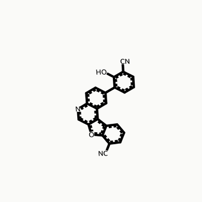 N#Cc1cccc(-c2ccc3ncc4oc5c(C#N)cccc5c4c3c2)c1O